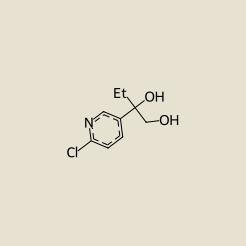 CCC(O)(CO)c1ccc(Cl)nc1